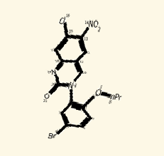 CCCOc1ccc(Br)cc1-n1cc2cc([N+](=O)[O-])c(Cl)cc2nc1=O